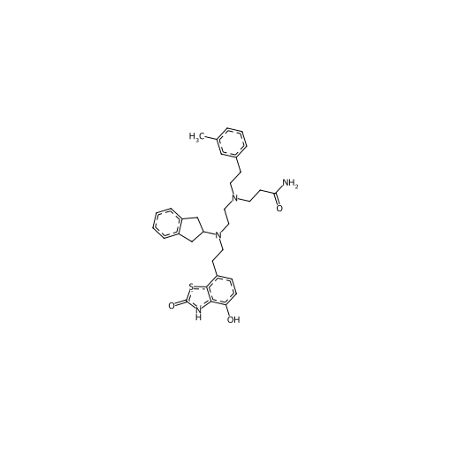 Cc1cccc(CCN(CCC(N)=O)CCN(CCc2ccc(O)c3[nH]c(=O)sc23)C2Cc3ccccc3C2)c1